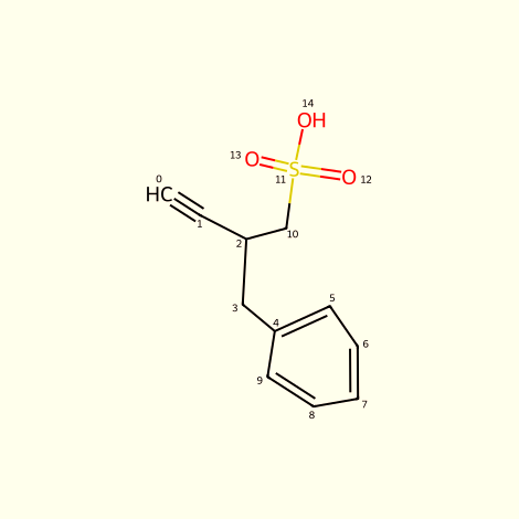 C#CC(Cc1ccccc1)CS(=O)(=O)O